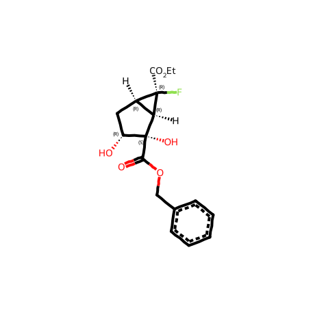 CCOC(=O)[C@@]1(F)[C@@H]2C[C@@H](O)[C@](O)(C(=O)OCc3ccccc3)[C@@H]21